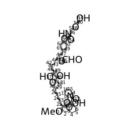 CO[C@@H](CC1CCC[C@](O)(C(=O)C(=O)N2CCCCC2)O1)/C(C)=C/C=C/C=C/[C@@H](C)C[C@@H](C)C(=O)[C@H](O)C(O)/C(C)=C/[C@@H](C)CC[C@@H](CCC1CCC(OC(=O)NCCOCCO)CC1)OC=O